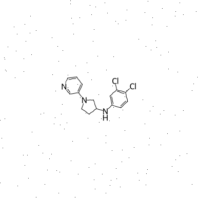 Clc1ccc(NC2CCN(c3cccnc3)C2)cc1Cl